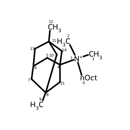 CCCCCCCC[N+](C)(C)C12CC3CC(C)(CC(C)(C3)C1)C2